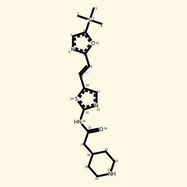 C[Si](C)(C)c1cnc(/C=C/c2cnc(NC(=O)CC3CCNCC3)s2)o1